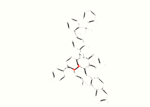 CC1(C)c2ccccc2-c2cccc(-c3ccc(N(c4ccc(-c5ccccc5)cc4)c4ccccc4-c4cccc5oc6c7ccccc7ccc6c45)cc3)c21